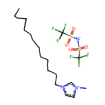 CCCCCCCCCCCCn1cc[n+](C)c1.O=S(=O)([N-]S(=O)(=O)C(F)(F)F)C(F)(F)F